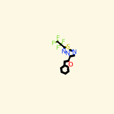 FC(F)C(F)(F)c1nn2c(-c3cc4ccccc4o3)cnc2s1